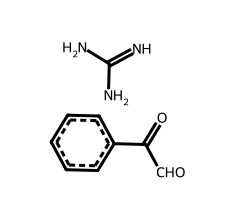 N=C(N)N.O=CC(=O)c1ccccc1